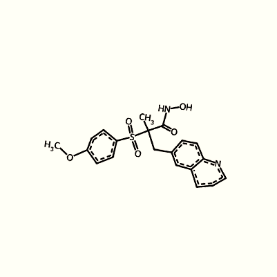 COc1ccc(S(=O)(=O)C(C)(Cc2ccc3ncccc3c2)C(=O)NO)cc1